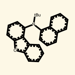 CC(C)(C)N(c1cccc2ccccc12)c1cccc2oc3ccccc3c12